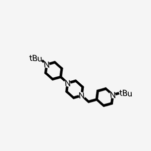 CC(C)(C)N1CCC(CN2CCN(C3CCN(C(C)(C)C)CC3)CC2)CC1